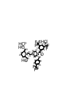 Cl.Cl.O=C(c1cc(C(F)(F)F)cc(C(F)(F)F)c1)N1CCN(CCN2C(CO)CCCC2CO)C[C@H]1Cc1ccc(C(F)(F)F)cc1